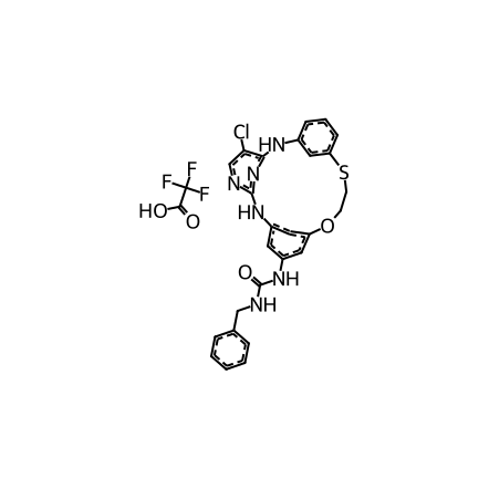 O=C(NCc1ccccc1)Nc1cc2cc(c1)OCCSc1cccc(c1)Nc1nc(ncc1Cl)N2.O=C(O)C(F)(F)F